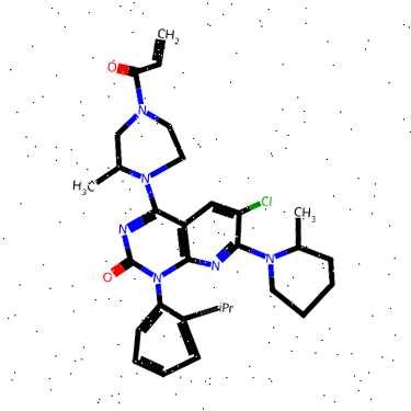 C=CC(=O)N1CCN(c2nc(=O)n(-c3ccccc3C(C)C)c3nc(N4CCCCC4C)c(Cl)cc23)C(C)C1